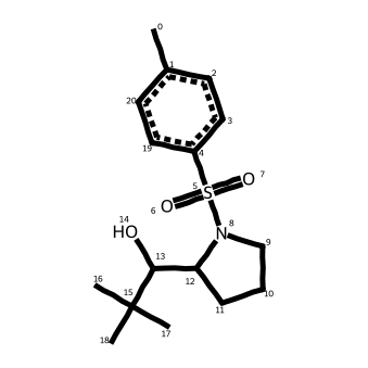 Cc1ccc(S(=O)(=O)N2CCCC2C(O)C(C)(C)C)cc1